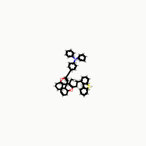 C1=CCC2C(C1)OC1=C(CCC(c3cccc4sc5ccccc5c34)C1)C21C2=C(CC(c3ccc(N(c4ccccc4)c4ccccc4)cc3)C=C2)OC2=C1CCCC2